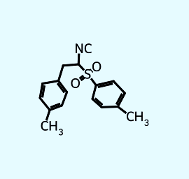 [C-]#[N+]C(Cc1ccc(C)cc1)S(=O)(=O)c1ccc(C)cc1